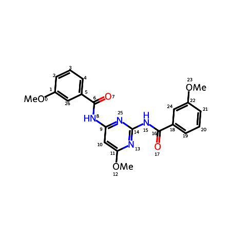 COc1cccc(C(=O)Nc2cc(OC)nc(NC(=O)c3cccc(OC)c3)n2)c1